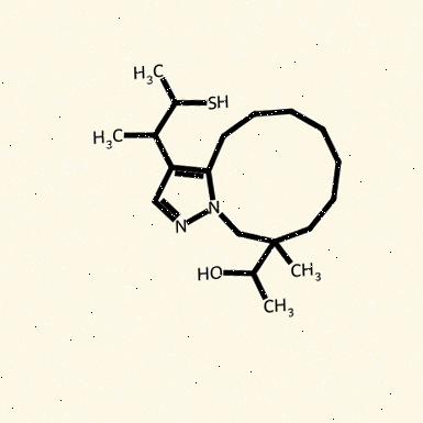 CC(S)C(C)c1cnn2c1CCCCCCCC(C)(C(C)O)C2